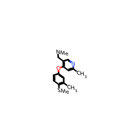 CNCc1cnc(C)cc1Oc1ccc(SC)c(C)c1